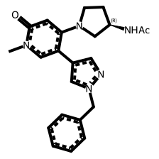 CC(=O)N[C@@H]1CCN(c2cc(=O)n(C)cc2-c2cnn(Cc3ccccc3)c2)C1